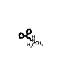 CC(C)NCCCC(c1ccccc1)c1ccccc1